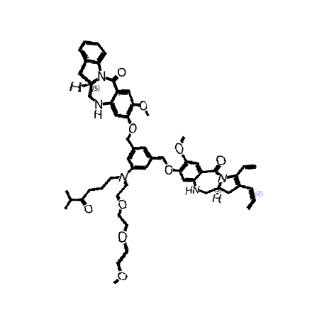 C=CC1=C(/C=C\C)C[C@H]2CNc3cc(OCc4cc(COc5cc6c(cc5OC)C(=O)N5c7ccccc7C[C@H]5CN6)cc(N(CCCC(=O)C(C)C)CCOCCOCCOC)c4)c(OC)cc3C(=O)N12